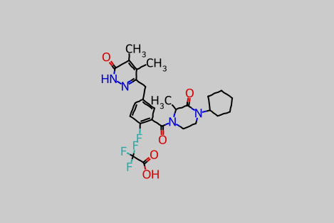 Cc1c(Cc2ccc(F)c(C(=O)N3CCN(C4CCCCC4)C(=O)C3C)c2)n[nH]c(=O)c1C.O=C(O)C(F)(F)F